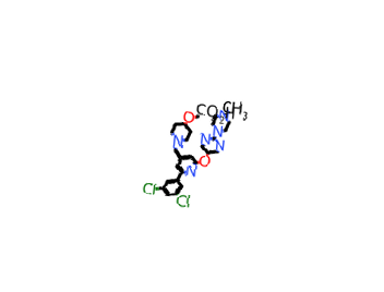 CN1CCN(c2ncc(Oc3cc(CN4CCC(OCC(=O)O)CC4)cc(-c4cc(Cl)cc(Cl)c4)n3)cn2)CC1